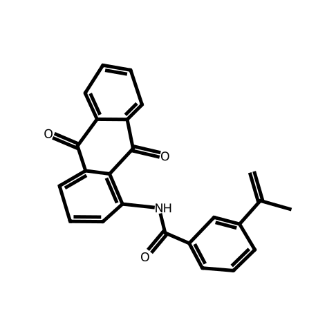 C=C(C)c1cccc(C(=O)Nc2cccc3c2C(=O)c2ccccc2C3=O)c1